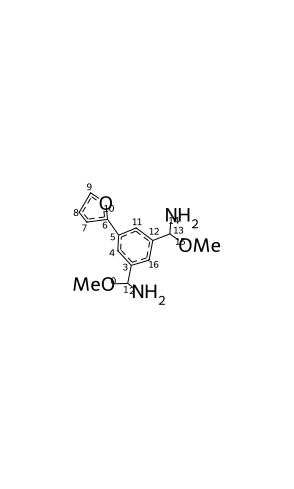 COC(N)c1cc(-c2ccco2)cc(C(N)OC)c1